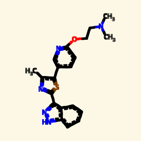 Cc1nc(-c2n[nH]c3ccccc23)sc1-c1ccc(OCCN(C)C)nc1